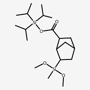 CO[Si](C)(OC)C1CC2CC(C(=O)O[Si](C(C)C)(C(C)C)C(C)C)C1C2